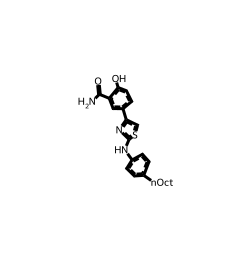 CCCCCCCCc1ccc(Nc2nc(-c3ccc(O)c(C(N)=O)c3)cs2)cc1